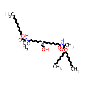 CCCCCCCCCCCOC(=O)C(C)NC(=O)CCCCCN(CCO)CCCCCCCC(=O)NC(C)C(=O)OC(CCCCCCCC)CCCCCCCC